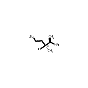 C=C(CCC)[C@@](C)(Cl)CCC(C)(C)C